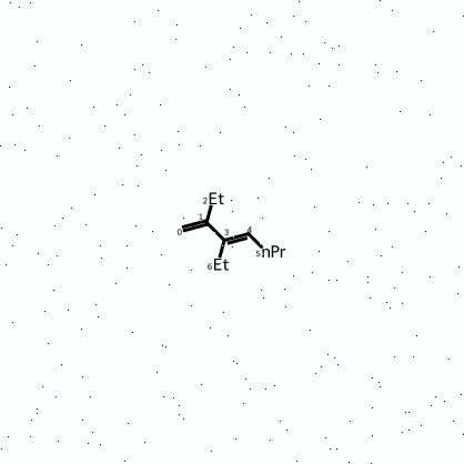 C=C(CC)C(=CCCC)CC